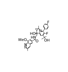 COc1cc(C(=O)NC[C@@](O)(c2cc(C(C)(C)O)c(F)c(-c3ccc(F)cc3)n2)C2CC2(C)C)cc2cc(C)nnc12